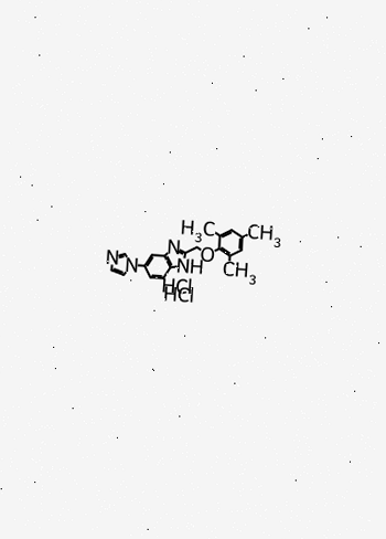 Cc1cc(C)c(OCc2nc3cc(-n4ccnc4)ccc3[nH]2)c(C)c1.Cl.Cl